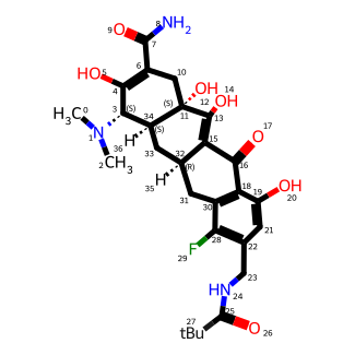 CN(C)[C@@H]1C(O)=C(C(N)=O)C[C@@]2(O)C(O)=C3C(=O)c4c(O)cc(CNC(=O)C(C)(C)C)c(F)c4C[C@H]3C[C@@H]12